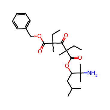 CCC(C)(C(=O)OCc1ccccc1)C(=O)C(C)(CC)C(=O)OC(CC(C)C)C(C)(C)N